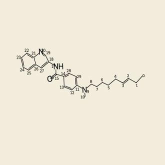 CC/C=C/CCCCCN(C)c1ccc(C(=O)Nc2cnc3ccccc3c2)cc1